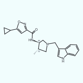 C[C@H]1CN(Cc2c[nH]c3ccccc23)C[C@@H]1NC(=O)c1cc(C2CC2)on1